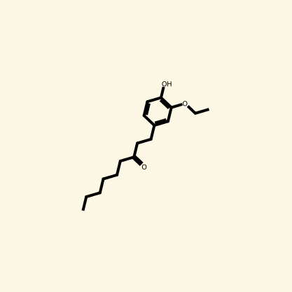 CCCCCCC(=O)CCc1ccc(O)c(OCC)c1